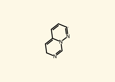 [C]1=NN2C=NCC=C2C=C1